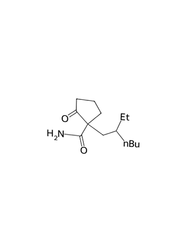 CCCCC(CC)CC1(C(N)=O)CCCC1=O